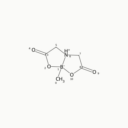 C[B-]12OC(=O)C[NH+]1CC(=O)O2